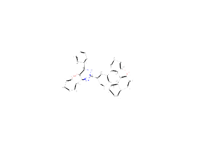 c1ccc(-c2nc(-c3cccc(-c4cccc5oc6ccc7ccccc7c6c45)c3)nc3c2oc2ccccc23)cc1